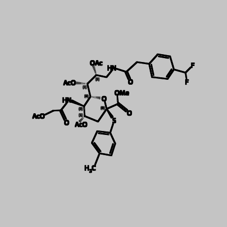 COC(=O)[C@]1(Sc2ccc(C)cc2)C[C@H](OC(C)=O)[C@@H](NC(=O)COC(C)=O)[C@H]([C@H](OC(C)=O)[C@@H](CNC(=O)Cc2ccc(C(F)F)cc2)OC(C)=O)O1